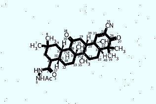 CC(=O)NNC(=O)C1CC(C)(C)C[C@H]2[C@@H]1CC[C@]1(C)[C@@H]2C(=O)C[C@@H]2[C@@]3(C)C=C(C#N)C(=O)C(C)(C)[C@@H]3CC[C@]21C